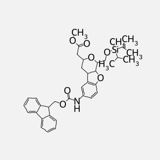 COC(=O)CC1CC2c3cc(NC(=O)OCC4c5ccccc5-c5ccccc54)ccc3OC2C(CO[Si](C)(C(C)C)C(C)C)O1